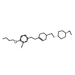 CCCCOc1ccc(CCC2=CCC(CC[C@H]3CC[C@H](CC)CC3)CC2)cc1F